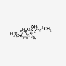 CCCCCC(C)(O)C(C#N)c1ccc(OC)cc1